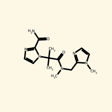 CN(Cc1nccn1C)C(=O)C(C)(C)n1c[c]nc1C(N)=O